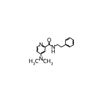 CN(C)c1ccnc(C(=O)NCCc2ccccc2)c1